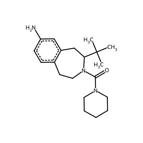 CC(C)(C)C1Cc2cc(N)ccc2CCN1C(=O)N1CCCCC1